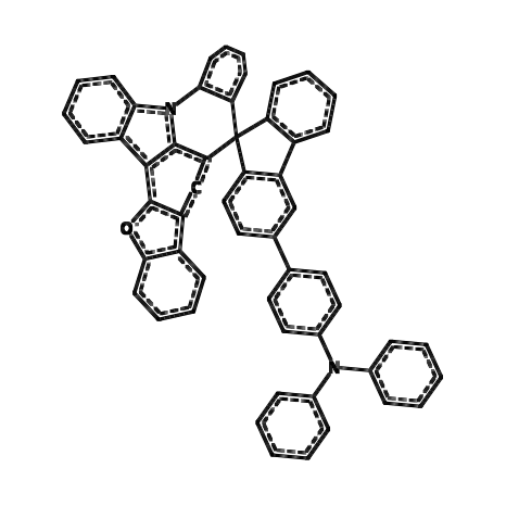 c1ccc(N(c2ccccc2)c2ccc(-c3ccc4c(c3)-c3ccccc3C43c4ccccc4-n4c5ccccc5c5c6oc7ccccc7c6cc3c54)cc2)cc1